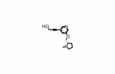 CN1CCC[C@H]1COc1cncc(C#CCO)c1